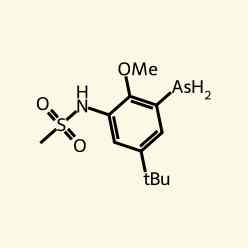 COc1c([AsH2])cc(C(C)(C)C)cc1NS(C)(=O)=O